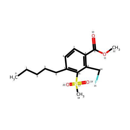 CCCCCc1ccc(C(=O)OC)c(CF)c1S(C)(=O)=O